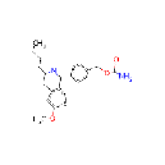 CCCCC1Cc2cc(OC)ccc2C(c2ccc(COC(N)=O)cc2)=N1